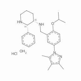 Cc1nn(-c2ccc(OC(C)C)c(CN[C@H]3CCCN[C@H]3c3ccccc3)c2)c(C)c1C.Cl.O